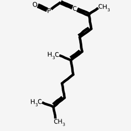 CC(=C=CP=O)/C=C/C=C(\C)CCC=C(C)C